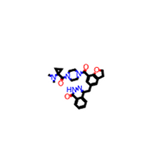 CN(C)C1(C(=O)N2CCN(C(=O)c3cc(Cc4n[nH]c(=O)c5ccccc45)cc4c3OCC4)CC2)CC1